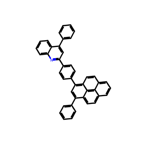 c1ccc(-c2cc(-c3ccc(-c4cc(-c5ccccc5)c5ccc6cccc7ccc4c5c67)cc3)nc3ccccc23)cc1